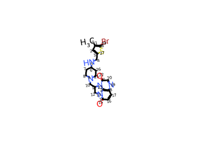 Cc1cc(CNC2CCN(CC3Cn4c(=O)ccc5ncc(=O)n3c54)CC2)sc1Br